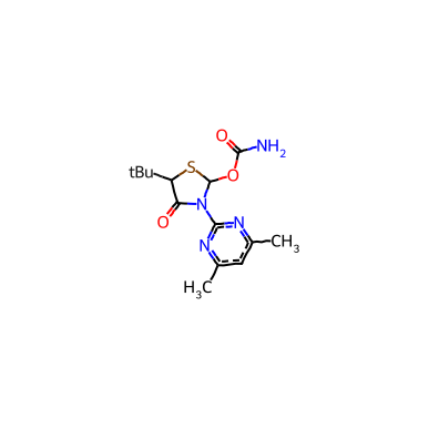 Cc1cc(C)nc(N2C(=O)C(C(C)(C)C)SC2OC(N)=O)n1